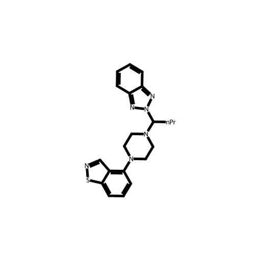 CCCC(N1CCN(c2cccc3sncc23)CC1)n1nc2ccccc2n1